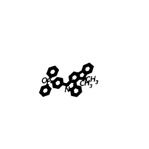 CC1(C)c2ccccc2-c2ccc3c(-c4ccc(P(=O)(c5ccccc5)c5ccccc5)cc4)nc4ccccc4c3c21